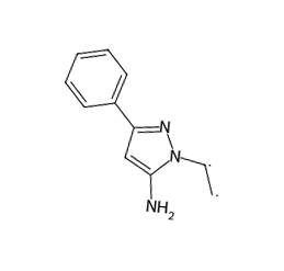 [CH2][CH]n1nc(-c2ccccc2)cc1N